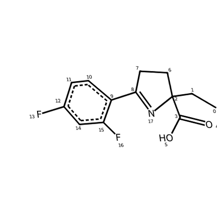 CCC1(C(=O)O)CCC(c2ccc(F)cc2F)=N1